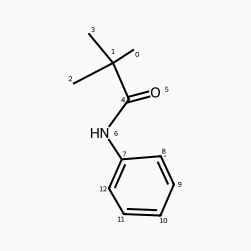 CC(C)(C)C(=O)Nc1[c]cccc1